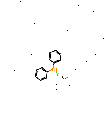 [Cl-].[Cl-].[Co+2].c1ccc(Pc2ccccc2)cc1